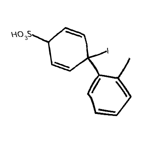 Cc1ccccc1C1(I)C=CC(S(=O)(=O)O)C=C1